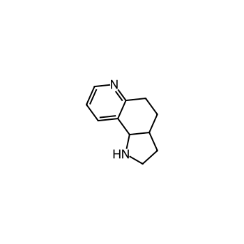 c1cnc2c(c1)C1NCCC1CC2